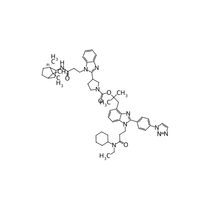 CCN(C(=O)CCn1c(-c2ccc(-n3ccnn3)cc2)nc2c(CC(C)(C)OC(=O)N3CCC(c4nc5ccccc5n4CCC(=O)NC4CC5CC[C@]4(C)C5(C)C)C3)cccc21)C1CCCCC1